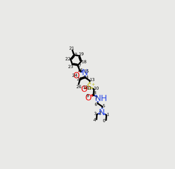 CCN(CC)CCNC(=O)C[S+]([O-])Cc1nc(-c2ccc(C)cc2)oc1C